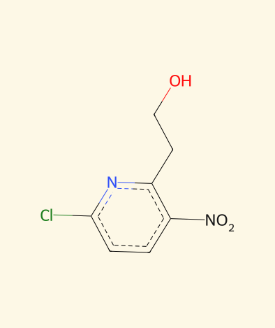 O=[N+]([O-])c1ccc(Cl)nc1CCO